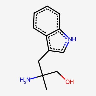 CC(N)(CO)Cc1c[nH]c2ccccc12